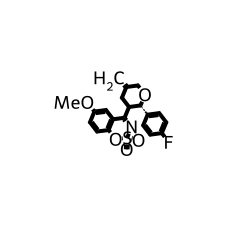 C=C1CO[C@H](c2ccc(F)cc2)C(C2=NS(=O)(=O)Oc3ccc(OC)cc32)C1